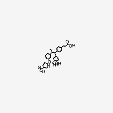 CCC(=C(c1ccc(C=CC(=O)O)cc1)c1ccc2[nH]ncc2c1)c1cccc(Oc2ccc(S(C)(=O)=O)cn2)c1